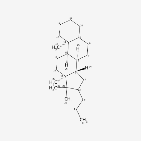 CCCC1C[C@H]2[C@@H]3CCC4CCCC[C@]4(C)[C@@H]3CC[C@]2(C)C1(C)C